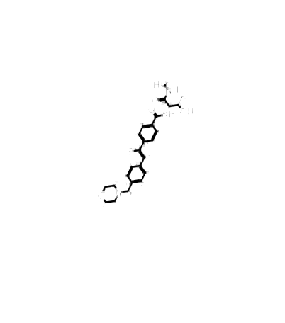 C[C@@H](O)[C@H](NC(=O)c1ccc(/C(F)=C/c2ccc(CN3CCOCC3)cc2)cc1)C(=O)NO